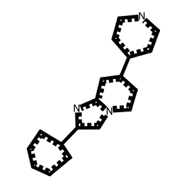 c1ccc(-c2cn3ccc(-c4ccncc4)cc3n2)cc1